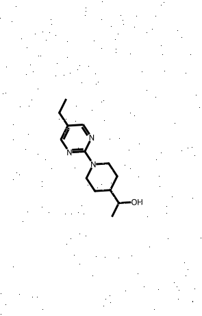 CCc1cnc(N2CCC(C(C)O)CC2)nc1